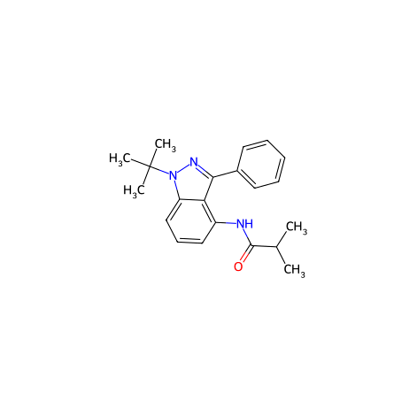 CC(C)C(=O)Nc1cccc2c1c(-c1ccccc1)nn2C(C)(C)C